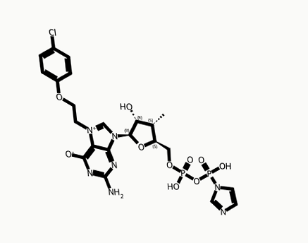 C[C@H]1[C@@H](O)[C@H](n2c[n+](CCOc3ccc(Cl)cc3)c3c([O-])nc(N)nc32)O[C@@H]1COP(=O)(O)OP(=O)(O)n1ccnc1